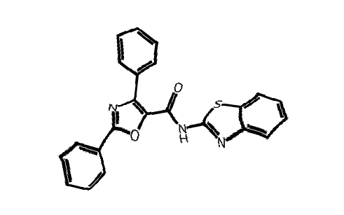 O=C(Nc1nc2ccccc2s1)c1oc(-c2ccccc2)nc1-c1ccccc1